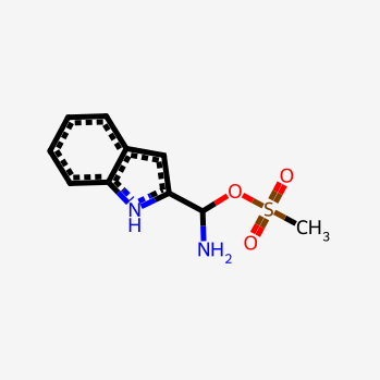 CS(=O)(=O)OC(N)c1cc2ccccc2[nH]1